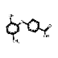 Cc1ccc(O)c(Oc2ccc(C(=O)O)cc2)c1